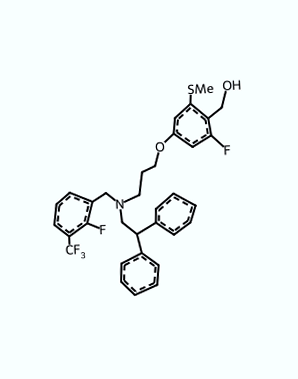 CSc1cc(OCCCN(Cc2cccc(C(F)(F)F)c2F)CC(c2ccccc2)c2ccccc2)cc(F)c1CO